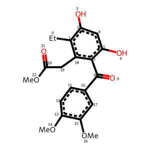 CCc1c(O)cc(O)c(C(=O)c2ccc(OC)c(OC)c2)c1CC(=O)OC